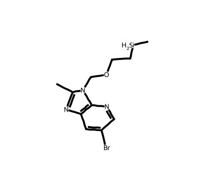 C[SiH2]CCOCn1c(C)nc2cc(Br)cnc21